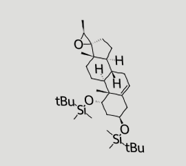 C[C@@H]1O[C@@]12CC[C@H]1[C@@H]3CC=C4C[C@@H](O[Si](C)(C)C(C)(C)C)C[C@H](O[Si](C)(C)C(C)(C)C)[C@]4(C)[C@H]3CC[C@@]12C